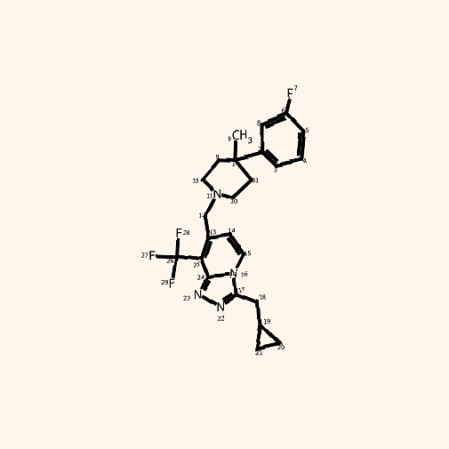 CC1(c2cccc(F)c2)CCN(Cc2ccn3c(CC4CC4)nnc3c2C(F)(F)F)CC1